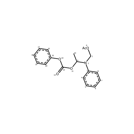 CC(=O)OCN(c1ccccc1)C(C)OC(=O)Oc1ccccc1